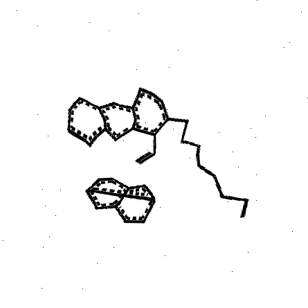 C=Cc1c(CCCCCCCC)ccc2cc3ccccc3cc12.c1cc2cc3ccc2cc13